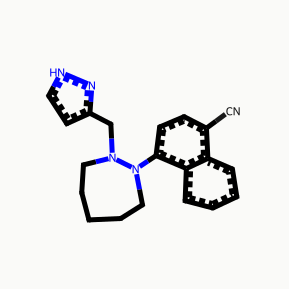 N#Cc1ccc(N2CCCCCN2Cc2cc[nH]n2)c2ccccc12